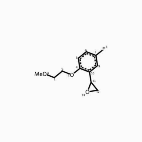 COCCOc1ccc(F)cc1C1CO1